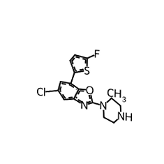 CC1CNCCN1c1nc2cc(Cl)cc(-c3ccc(F)s3)c2o1